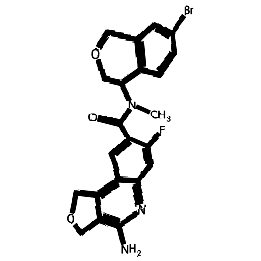 CN(C(=O)c1cc2c3c(c(N)nc2cc1F)COC3)C1COCc2cc(Br)ccc21